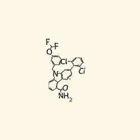 NC(=O)c1cccc2c1c1[c]cc(-c3c(Cl)cccc3Cl)cc1n2Cc1cccc(OC(F)F)c1